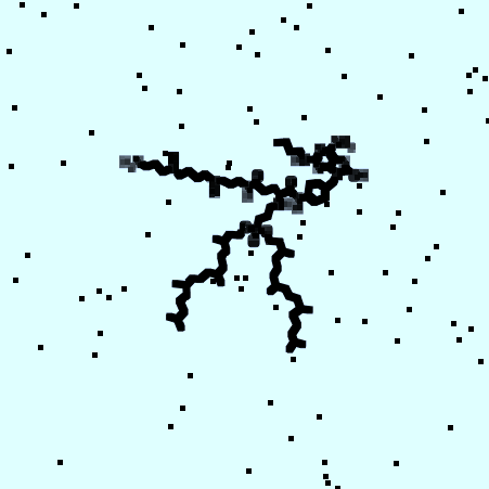 CCCCNc1nc(N)c2nc(O)n(Cc3ccc(NC(=O)[C@H](CCC(=O)NCCCNCCCCNCCCN)NCCCP(=O)(OCCC(C)CCCC(C)CCCC(C)CCCC(C)C)OCCC(C)CCCC(C)CCCC(C)CCCC(C)C)cc3)c2n1